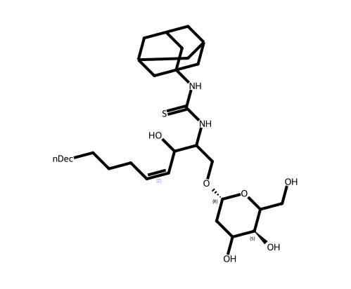 CCCCCCCCCCCCC/C=C\C(O)C(CO[C@H]1CC(O)[C@H](O)C(CO)O1)NC(=S)NC12CC3CC(CC(C3)C1)C2